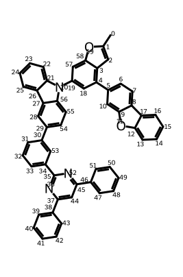 Cc1cc2c(-c3ccc4c(c3)oc3ccccc34)cc(-n3c4ccccc4c4cc(-c5cccc(-c6nc(-c7ccccc7)cc(-c7ccccc7)n6)c5)ccc43)cc2o1